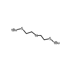 CC(C)(C)SCC[N]CCSC(C)(C)C